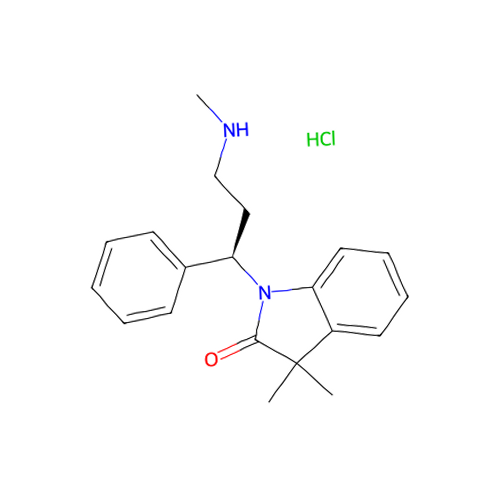 CNCC[C@H](c1ccccc1)N1C(=O)C(C)(C)c2ccccc21.Cl